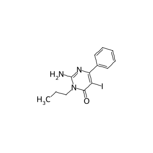 CCCn1c(N)nc(-c2ccccc2)c(I)c1=O